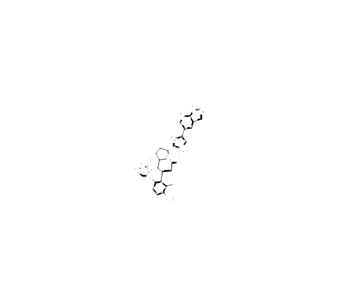 O=C1C=C(c2c(-n3cnnn3)ccc(Cl)c2F)C[C@H]2CC[C@@H](c3nc(-c4cnc5[nH]ncc5c4)c[nH]3)N12